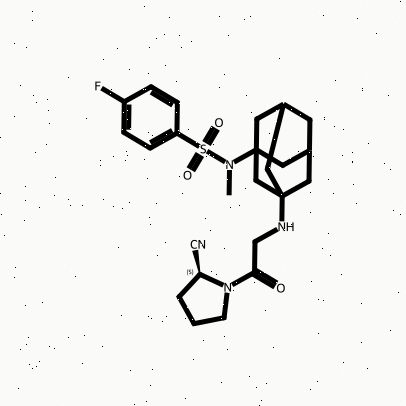 CN(C12CC3CC(CC(NCC(=O)N4CCC[C@H]4C#N)(C3)C1)C2)S(=O)(=O)c1ccc(F)cc1